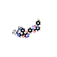 CN(C)c1cccc(-c2c(-c3cnn(C)c3)oc3ncnc(Oc4ccc(NC(=O)c5cccn(-c6ccc(F)cc6)c5=O)cc4)c23)c1